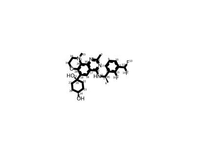 Cc1nc(N[C@H](C)c2cccc(C(F)F)c2F)c2cc([C@]3(O)CC[C@@H](O)CC3)c3c(c2n1)N(C)CCO3